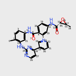 Cc1ccc(NC(=O)c2ccc(NC(=O)[C@@H]3O[C@H]3C)cc2)cc1Nc1nccc(-c2cccnc2)n1